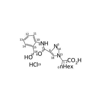 CCCCCCC(C(=O)O)n1cnc(C(=O)Nc2ccccc2CO)c1.Cl